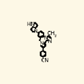 Cc1cnc2n1-c1ccc(N3CCC4NCCC43)cc1Cn1cc(-c3ccc(C#N)cc3)cc1-2